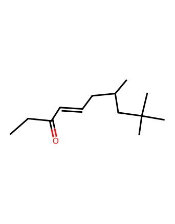 CCC(=O)C=CCC(C)CC(C)(C)C